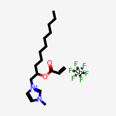 C=CC(=O)OC(CCCCCCCCC)C[n+]1ccn(C)c1.[F][Sb-]([F])([F])([F])([F])[F]